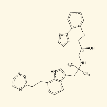 CC(C)(Cc1c[nH]c2c(CCc3cnccn3)cccc12)NC[C@H](O)COc1ccccc1-c1cccs1